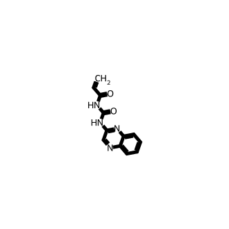 C=CC(=O)NC(=O)Nc1cnc2ccccc2n1